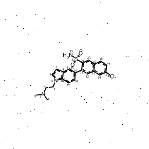 CN(C)CCn1ccc2cc(-c3cc4cc(Cl)ccc4cc3S(N)(=O)=O)ccc21